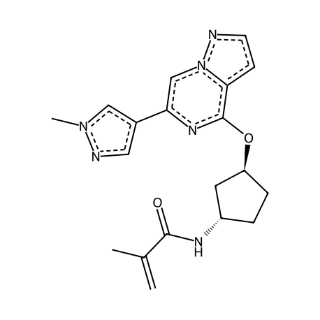 C=C(C)C(=O)N[C@H]1CC[C@H](Oc2nc(-c3cnn(C)c3)cn3nccc23)C1